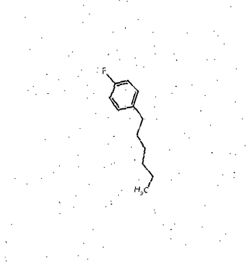 CCCCC[CH]c1ccc(F)cc1